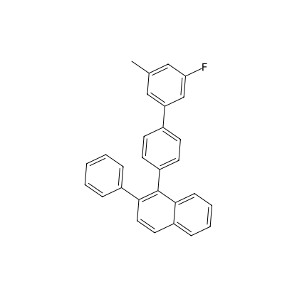 Cc1cc(F)cc(-c2ccc(-c3c(-c4ccccc4)ccc4ccccc34)cc2)c1